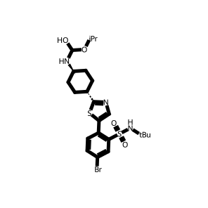 CC(C)OC(O)N[C@H]1CC[C@H](c2ncc(-c3ccc(Br)cc3S(=O)(=O)NC(C)(C)C)s2)CC1